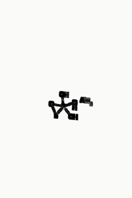 OP1(O)(O)OS1.[AlH3]